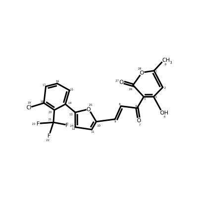 Cc1cc(O)c(C(=O)/C=C/c2ccc(-c3cccc(Cl)c3C(F)(F)F)o2)c(=O)o1